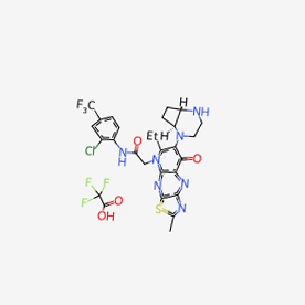 CCc1c(N2CCN[C@H]3CC[C@@H]32)c(=O)c2nc3nc(C)sc3nc2n1CC(=O)Nc1ccc(C(F)(F)F)cc1Cl.O=C(O)C(F)(F)F